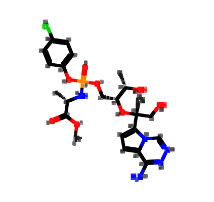 CC(C)OC(=O)[C@H](C)NP(=O)(OC[C@@H](O[C@](C#N)(CO)c1ccc2c(N)nncn12)[C@H](C)O)Oc1ccc(Cl)cc1